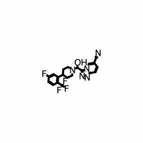 N#Cc1ccc2nnc(C(O)N3CCC(c4cc(F)ccc4C(F)(F)F)CC3)n2c1